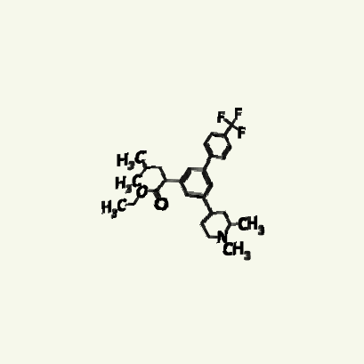 CCOC(=O)C(CC(C)C)c1cc(-c2ccc(C(F)(F)F)cc2)cc(C2CCN(C)C(C)C2)c1